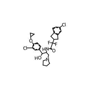 O=C(NC(CN1CCCC1)C(O)c1ccc(OC2CC2)c(Cl)c1)C(F)(F)C1Cc2ccc(Cl)cc2C1